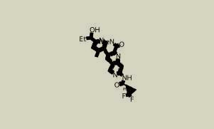 CCC(O)c1cc(C)c(-c2cc3cnc(NC(=O)[C@H]4CC4(F)F)cc3nc2C(=O)NC)cn1